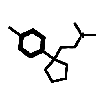 Cc1ccc(C2(CCN(C)C)CCCC2)cc1